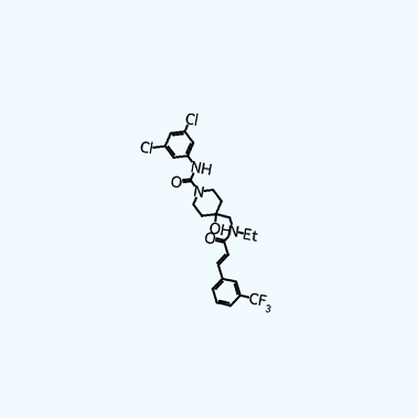 CCN(CC1(O)CCN(C(=O)Nc2cc(Cl)cc(Cl)c2)CC1)C(=O)C=Cc1cccc(C(F)(F)F)c1